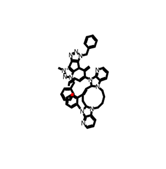 C=C(/C(=C\C=C/C)N1c2ncccc2N2CCCCN3c4cccnc4N4c5ccccc5C(=CC21)CC34)C1c2c(nnn2Cc2ccccc2)-c2c1n(Cc1ccccc1)n[n+]2C